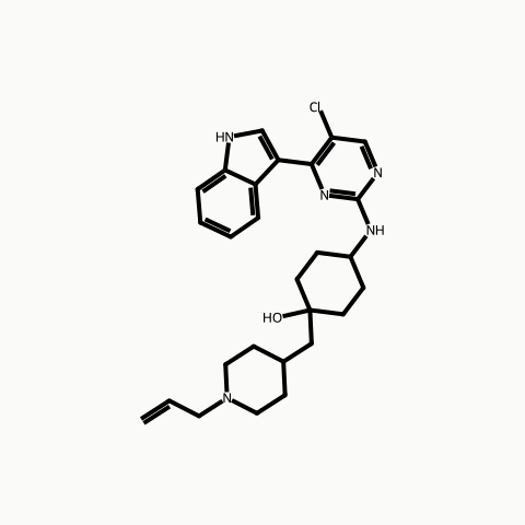 C=CCN1CCC(CC2(O)CCC(Nc3ncc(Cl)c(-c4c[nH]c5ccccc45)n3)CC2)CC1